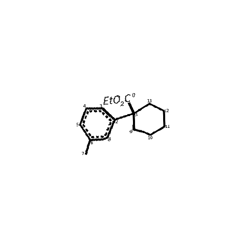 CCOC(=O)C1(c2cccc(C)c2)CCCCC1